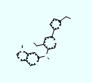 CCc1ccc(-c2cc(CC)c(N(C)c3cc4c(cn3)ncn4C)cn2)s1